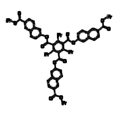 CC(C)OC(=O)c1ccc2cc(OC(=O)c3c(C(C)C)c(C(=O)Oc4ccc5cc(C(=O)OC(C)C)ccc5c4)c(C(C)C)c(C(=O)Oc4ccc5cc(C(=O)OC(C)C)ccc5c4)c3C(C)C)ccc2c1